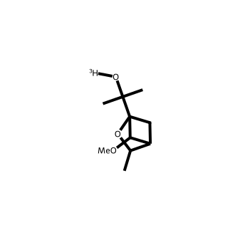 [3H]OC(C)(C)C12CC(C(C)O1)C2OC